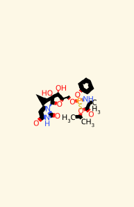 CC(C)OC(=O)C(C)NP(=S)(OC[C@H]1O[C@@H](n2ccc(=O)[nH]c2=O)[C@@](O)(C2=CC2)[C@@H]1O)Oc1ccccc1